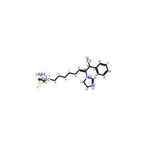 C1CS1.CCCCCCCCCCCCCCCC=C(C(CC)c1ccccc1)N1C=NCC1.N